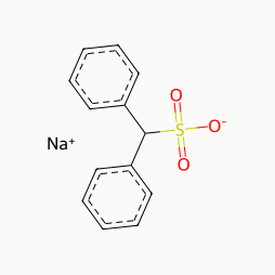 O=S(=O)([O-])C(c1ccccc1)c1ccccc1.[Na+]